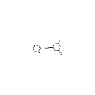 CC1CC(=O)C=C(C#Cc2ccccn2)C1